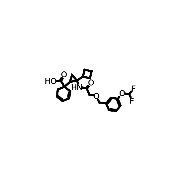 O=C(COCc1cccc(OC(F)F)c1)NC1(C2CCC2)CC1C1(C(=O)O)C=CC=CC1